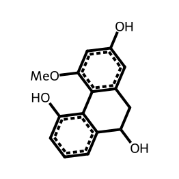 COc1cc(O)cc2c1-c1c(O)cccc1C(O)C2